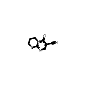 N#Cc1cnc2n(c1=O)CCCS2